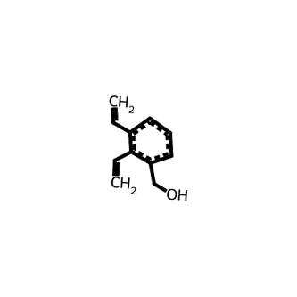 C=Cc1cccc(CO)c1C=C